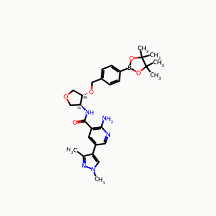 Cc1nn(C)cc1-c1cnc(N)c(C(=O)N[C@H]2COC[C@@H]2OCc2ccc(B3OC(C)(C)C(C)(C)O3)cc2)c1